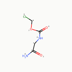 NC(=O)CNC(=O)OCCl